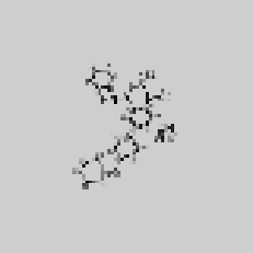 CC[C@H]1C[C@@H](Nc2ccccc2)c2cc(-c3ccc(CN4CCCCC4)cc3)ccc2N1C(C)=O.O=CO